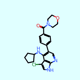 O=C(c1ccc(-c2cnc3[nH]cc(Cl)c3c2NC2CCCC2)cc1)N1CCOCC1